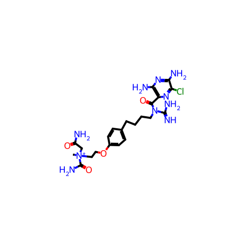 C[N+](CCOc1ccc(CCCCN(C(=N)N)C(=O)c2nc(Cl)c(N)nc2N)cc1)(CC(N)=O)C(N)=O